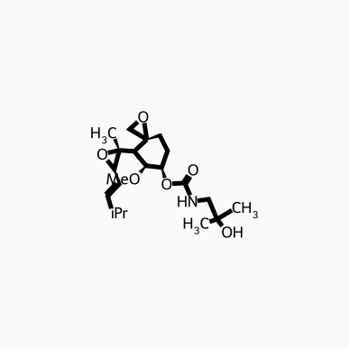 CO[C@H]1C([C@@]2(C)O[C@@H]2/C=C/C(C)C)[C@]2(CC[C@H]1OC(=O)NCC(C)(C)O)CO2